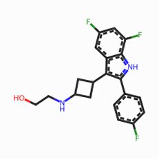 OCCNC1CC(c2c(-c3ccc(F)cc3)[nH]c3c(F)cc(F)cc23)C1